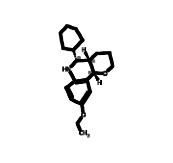 CCOc1ccc2c(c1)[C@H]1OCCC[C@H]1[C@@H](C1CCCCC1)N2